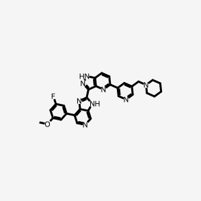 COc1cc(F)cc(-c2cncc3[nH]c(-c4n[nH]c5ccc(-c6cncc(CN7CCCCC7)c6)nc45)nc23)c1